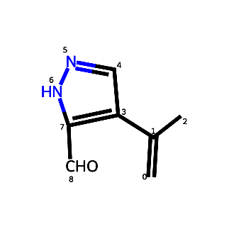 C=C(C)c1cn[nH]c1C=O